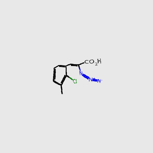 Cc1cccc(C=C(N=[N+]=[N-])C(=O)O)c1Cl